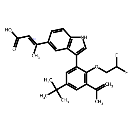 C=C(C)c1cc(C(C)(C)C)cc(-c2c[nH]c3ccc(/C(C)=C/C(=O)O)cc23)c1OCC(F)F